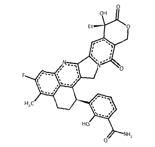 CC[C@@]1(O)C(=O)OCc2c1cc1n(c2=O)Cc2c-1nc1cc(F)c(C)c3c1c2[C@@H](c1cccc(C(N)=O)c1O)CC3